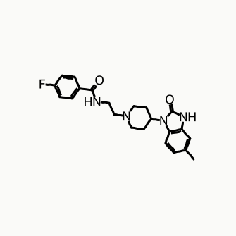 Cc1ccc2c(c1)[nH]c(=O)n2C1CCN(CCNC(=O)c2ccc(F)cc2)CC1